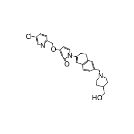 O=c1cc(OCc2ccc(Cl)cn2)ccn1C1=Cc2ccc(CN3CCC(CO)CC3)cc2CC1